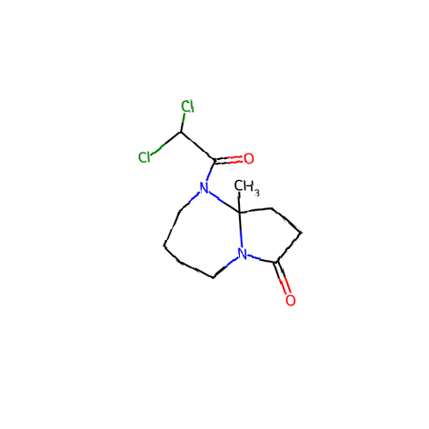 CC12CCC(=O)N1CCCCN2C(=O)C(Cl)Cl